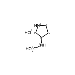 Cl.O=C(O)NC1CCNC1